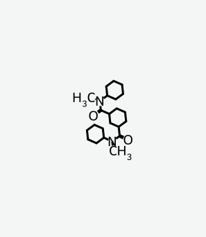 CN(C(=O)C1CCCC(C(=O)N(C)C2CCCCC2)C1)C1CCCCC1